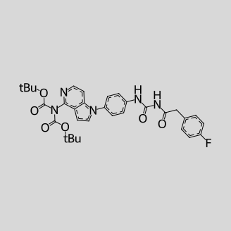 CC(C)(C)OC(=O)N(C(=O)OC(C)(C)C)c1nccc2c1ccn2-c1ccc(NC(=O)NC(=O)Cc2ccc(F)cc2)cc1